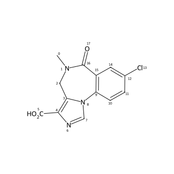 CN1Cc2c(C(=O)O)ncn2-c2ccc(Cl)cc2C1=O